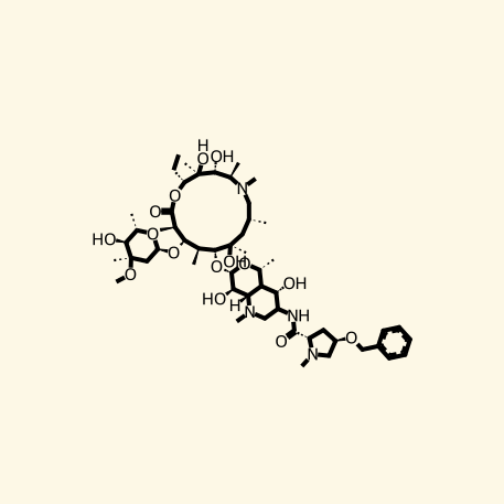 CC[C@H]1OC(=O)[C@H](C)[C@@H](O[C@H]2C[C@@](C)(OC)[C@@H](O)[C@H](C)O2)[C@H](C)[C@@H](O[C@@H]2O[C@H](C)C3[C@H](O)C(NC(=O)[C@@H]4C[C@@H](OCc5ccccc5)CN4C)CN(C)[C@@H]3[C@H]2O)[C@](C)(O)C[C@@H](C)CN(C)[C@H](C)[C@@H](O)[C@]1(C)O